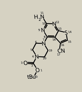 CC(C)(C)OC(=O)N1CCN(c2nc(N)nc3scc(C#N)c23)CC1